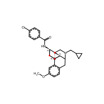 COc1ccc2c(c1)[C@]13CCN(CC4CC4)C(C2)[C@]12CC[C@@](NC(=O)c1ccc(Cl)cc1)(CO2)C3